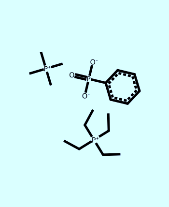 CC[P+](CC)(CC)CC.C[P+](C)(C)C.O=P([O-])([O-])c1ccccc1